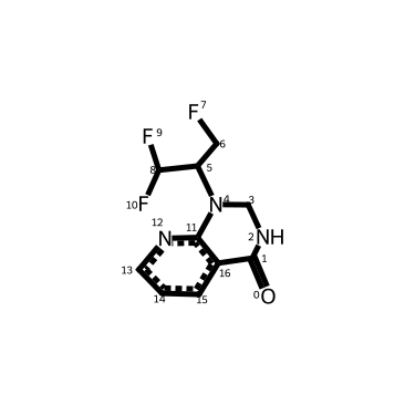 O=C1NCN(C(CF)C(F)F)c2ncccc21